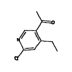 CCc1cc(Cl)ncc1C(C)=O